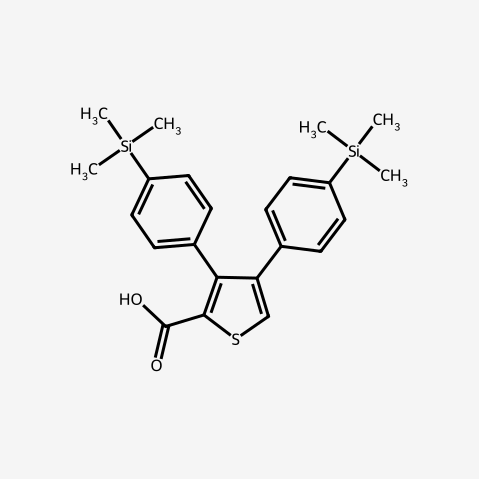 C[Si](C)(C)c1ccc(-c2csc(C(=O)O)c2-c2ccc([Si](C)(C)C)cc2)cc1